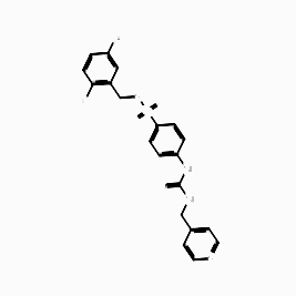 O=C(NCc1ccncc1)Nc1ccc(S(=O)(=O)NCc2cc(Br)ccc2Br)cc1